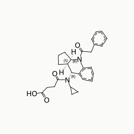 O=C(O)CCC(=O)N(C1CC1)[C@H]1c2ccccc2N(C(=O)Cc2ccccc2)[C@@H]2CCC[C@@H]21